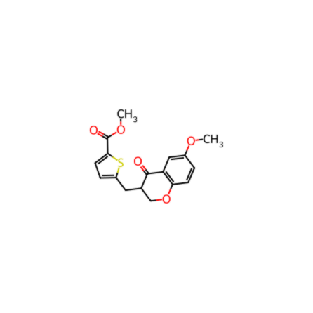 COC(=O)c1ccc(CC2COc3ccc(OC)cc3C2=O)s1